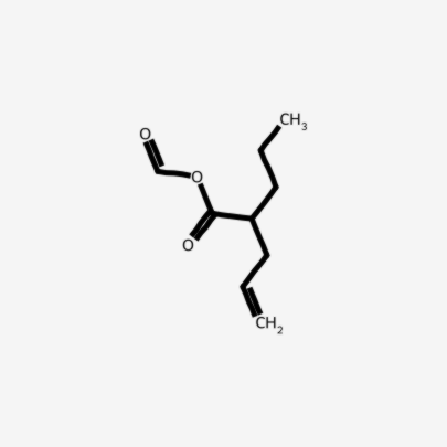 C=CCC(CCC)C(=O)OC=O